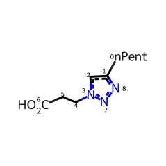 CCCCCc1cn(CCC(=O)O)nn1